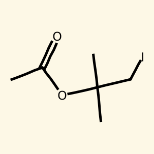 CC(=O)OC(C)(C)CI